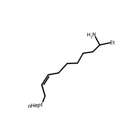 CCCCCCCC/C=C\CCCCCC(N)CC